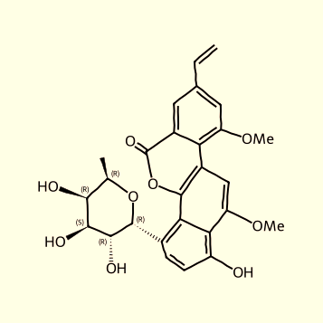 C=Cc1cc(OC)c2c(c1)c(=O)oc1c2cc(OC)c2c(O)ccc([C@H]3O[C@H](C)[C@H](O)[C@H](O)[C@H]3O)c21